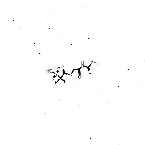 CC(=O)NC(=O)COC(=O)C(F)(F)S(=O)(=O)O